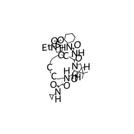 CCN1CC[C@@H](C2(NC(=O)N[C@H]3COCCCCCCC[C@@H](C(=O)C(=O)NC4CC4)NC(=O)[C@@H]4[C@@H]5[C@H](CN4C3=O)C5(C)C)CCCCC2)S1(=O)=O